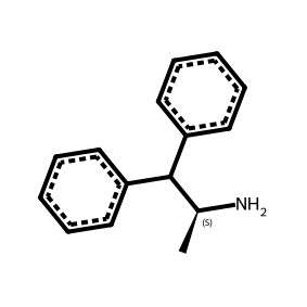 C[C@H](N)C(c1ccccc1)c1ccccc1